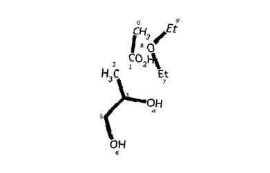 CC(=O)O.CC(O)CO.CCOCC